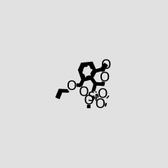 C=CCOC(=O)c1cccc2c1C(C[Si](OC)(OC)OC)COC2=O